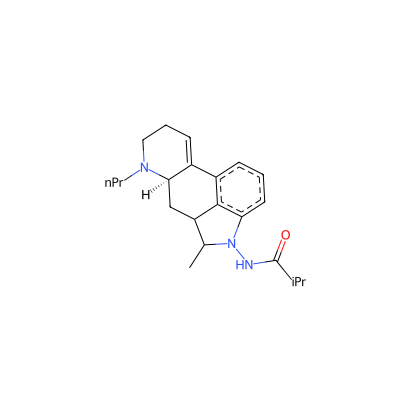 CCCN1CCC=C2c3cccc4c3C(C[C@H]21)C(C)N4NC(=O)C(C)C